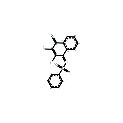 O=C1C(Cl)=C(Cl)C(=NS(=O)(=O)c2ccccc2)c2ccccc21